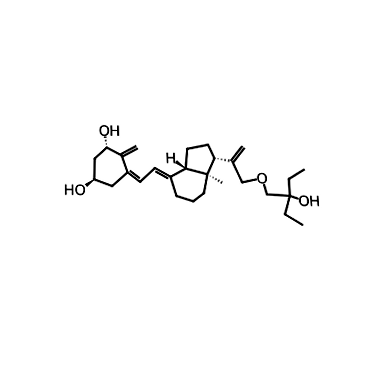 C=C(COCC(O)(CC)CC)[C@H]1CC[C@H]2/C(=C/C=C3/C[C@@H](O)C[C@H](O)C3=C)CCC[C@]12C